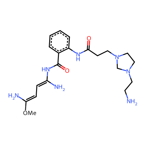 CO/C(N)=C/C=C(\N)NC(=O)c1ccccc1NC(=O)CCN1CCN(CCN)C1